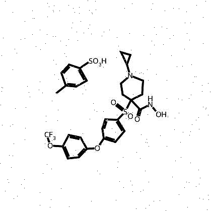 Cc1ccc(S(=O)(=O)O)cc1.O=C(NO)C1(S(=O)(=O)c2ccc(Oc3ccc(OC(F)(F)F)cc3)cc2)CCN(C2CC2)CC1